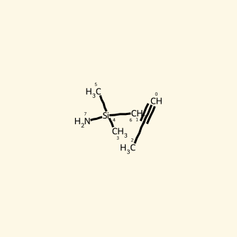 C#CC.C[Si](C)(C)N